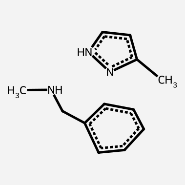 CNCc1ccccc1.Cc1cc[nH]n1